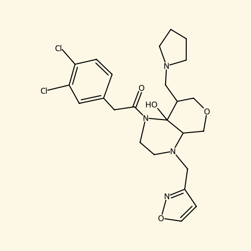 O=C(Cc1ccc(Cl)c(Cl)c1)N1CCN(Cc2ccon2)C2COCC(CN3CCCC3)C21O